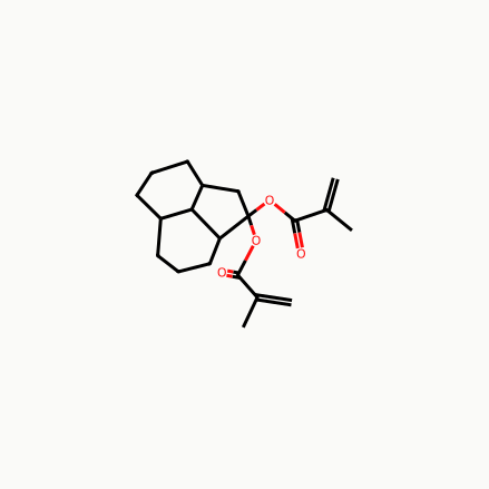 C=C(C)C(=O)OC1(OC(=O)C(=C)C)CC2CCCC3CCCC1C32